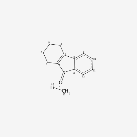 O=C1C2=C(CCCC2)c2ccccc21.[Li][CH3]